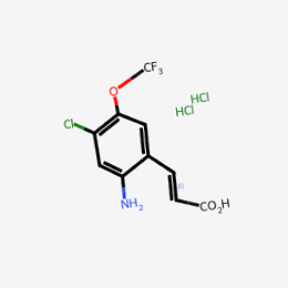 Cl.Cl.Nc1cc(Cl)c(OC(F)(F)F)cc1/C=C/C(=O)O